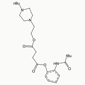 CCCCN1CCN(CCOC(=O)CCC(=O)Oc2ccccc2NC(=O)C(C)(C)C)CC1